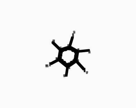 Cc1c(I)c(C)c(I)c(C)c1I